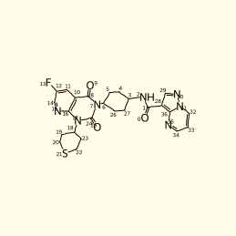 O=C(NC1CCC(n2c(=O)c3cc(F)cnc3n(C3CCSCC3)c2=O)CC1)c1cnn2cccnc12